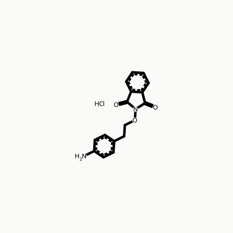 Cl.Nc1ccc(CCON2C(=O)c3ccccc3C2=O)cc1